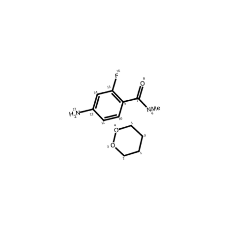 C1CCOOC1.CNC(=O)c1ccc(N)cc1F